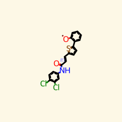 COc1ccccc1-c1ccc(/C=C/C(=O)Nc2ccc(Cl)c(Cl)c2)s1